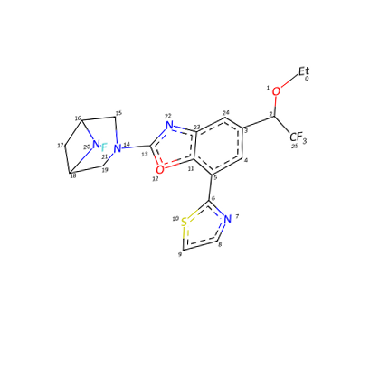 CCOC(c1cc(-c2nccs2)c2oc(N3CC4CC(C3)N4F)nc2c1)C(F)(F)F